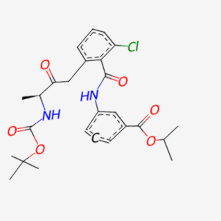 CC(C)OC(=O)c1cccc(NC(=O)c2c(Cl)cccc2CC(=O)[C@H](C)NC(=O)OC(C)(C)C)c1